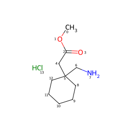 COC(=O)CC1(CN)CCCCC1.Cl